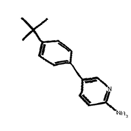 CC(C)(C)c1ccc(-c2ccc(N)nc2)cc1